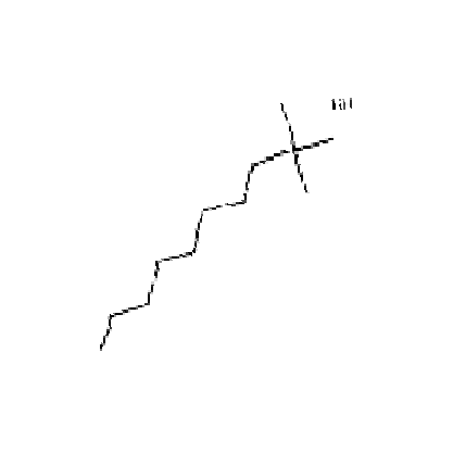 CCCCCCCCC(C)(C)C.[LiH]